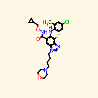 Cc1cc(Cl)ccc1Nc1c(C(=O)NOCC2CC2)cc2c(ncn2CCCCN2CCOCC2)c1F